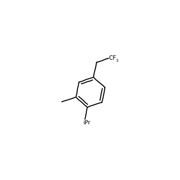 Cc1cc(CC(F)(F)F)ccc1C(C)C